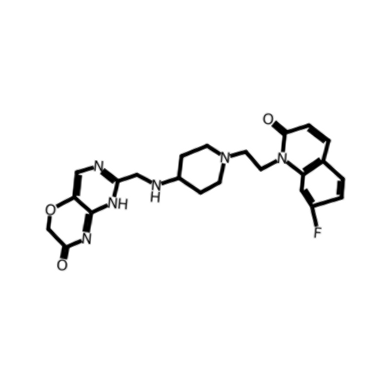 O=C1COC2=CN=C(CNC3CCN(CCn4c(=O)ccc5ccc(F)cc54)CC3)NC2=N1